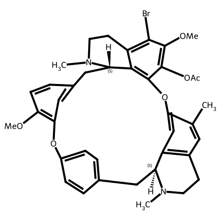 COc1ccc2cc1Oc1ccc(cc1)C[C@H]1c3cc(c(C)cc3CCN1C)Oc1c(OC(C)=O)c(OC)c(Br)c3c1[C@H](C2)N(C)CC3